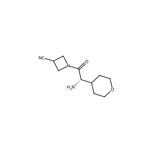 N#CC1CN(C(=O)[C@@H](N)C2CCOCC2)C1